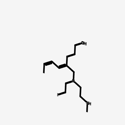 C/C=C\C=C(/CCCO)CN(CCI)CCNC